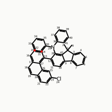 CC1(C)c2ccccc2-c2ccc(-c3cccc4ccc5ccc(Cl)cc5c34)c(N(c3ccccc3)c3ccccc3)c21